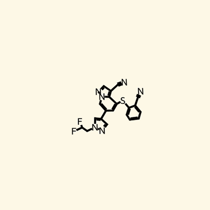 N#Cc1ccccc1Sc1cc(-c2cnn(CC(F)F)c2)cn2ncc(C#N)c12